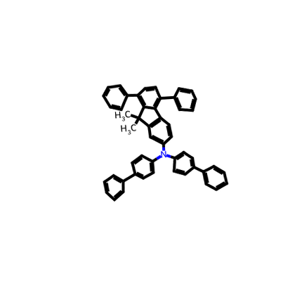 CC1(C)c2cc(N(c3ccc(-c4ccccc4)cc3)c3ccc(-c4ccccc4)cc3)ccc2-c2c(-c3ccccc3)ccc(-c3ccccc3)c21